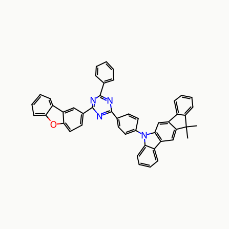 CC1(C)c2ccccc2-c2cc3c(cc21)c1ccccc1n3-c1ccc(-c2nc(-c3ccccc3)nc(-c3ccc4oc5ccccc5c4c3)n2)cc1